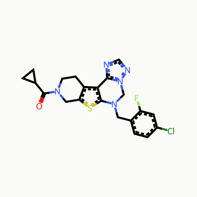 O=C(C1CC1)N1CCc2c(sc3c2-c2ncnn2CN3Cc2ccc(Cl)cc2F)C1